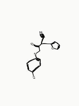 N#CC(C(=O)CSc1ccc(Cl)cc1)c1ccco1